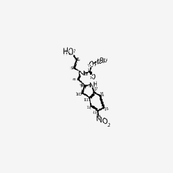 CC(C)(C)OC(=O)N(CCO)C[C@@H]1Cc2cc([N+](=O)[O-])ccc2N1